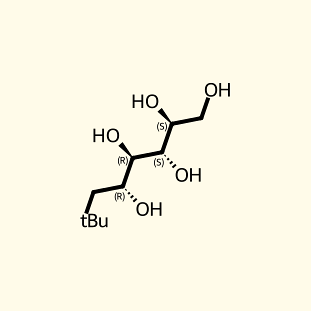 CC(C)(C)C[C@@H](O)[C@@H](O)[C@@H](O)[C@@H](O)CO